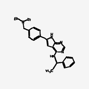 CCN(CC)Cc1ccc(-c2cc3c(NC(C)c4ccccc4)ncnc3[nH]2)cc1